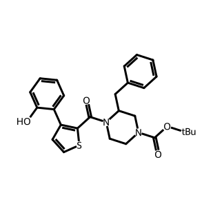 CC(C)(C)OC(=O)N1CCN(C(=O)c2sccc2-c2ccccc2O)C(Cc2ccccc2)C1